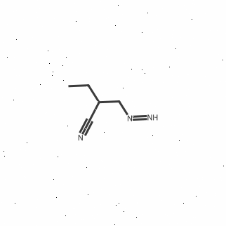 CCC(C#N)CN=N